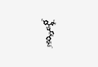 Nc1nc2cc(-c3nccc(-c4cnn(C(c5ccc(F)cc5)C5CC(F)(F)C5)c4)n3)ccn2n1